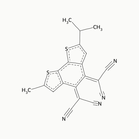 Cc1cc2c(=C(C#N)C#N)c(=C(C#N)C#N)c3cc(C(C)C)sc3c2s1